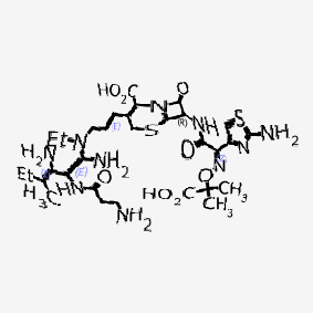 CC/C(C)=C(N)/C(NC(=O)CCN)=C(/N)N(CC)C/C=C/C1=C(C(=O)O)N2C(=O)[C@@H](NC(=O)/C(=N\OC(C)(C)C(=O)O)c3csc(N)n3)C2SC1